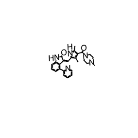 Cc1[nH]c(C=C2C(=O)Nc3cccc(-c4ccccn4)c32)c(C)c1C(=O)N1CCN(C)CC1